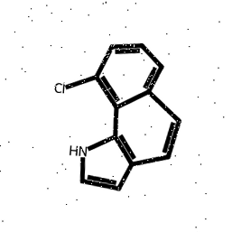 Clc1cccc2ccc3cc[nH]c3c12